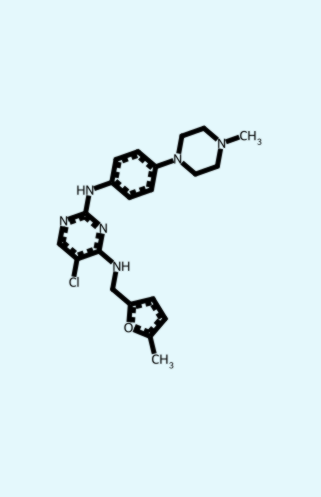 Cc1ccc(CNc2nc(Nc3ccc(N4CCN(C)CC4)cc3)ncc2Cl)o1